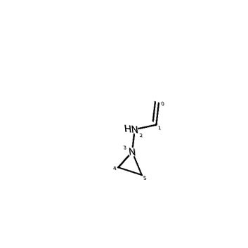 C=CNN1CC1